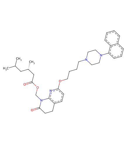 CC(C)C[C@H](C)CC(=O)OCN1C(=O)CCc2ccc(OCCCCN3CCN(c4cccc5ccccc45)CC3)nc21